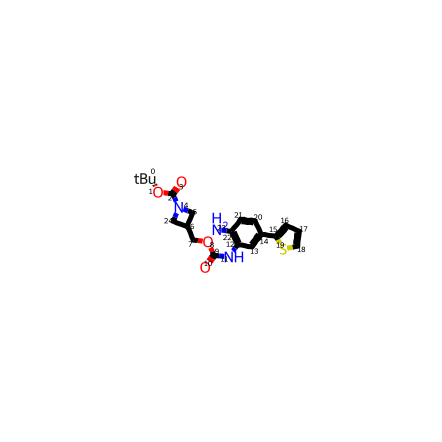 CC(C)(C)OC(=O)N1CC(COC(=O)Nc2cc(-c3cccs3)ccc2N)C1